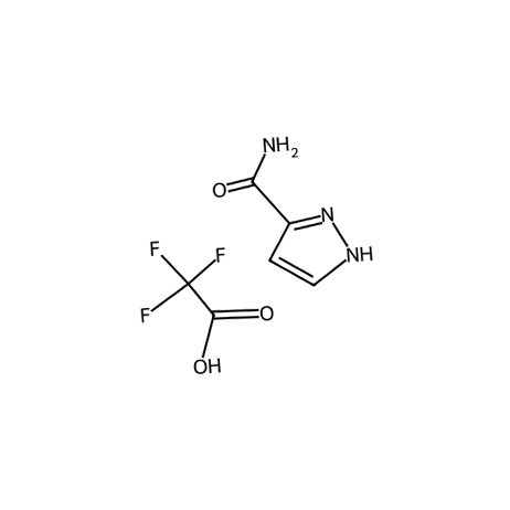 NC(=O)c1cc[nH]n1.O=C(O)C(F)(F)F